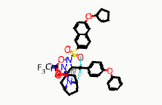 NC1CC2CCC(C1)N2C(=O)[C@H](N(OC(=O)C(F)(F)F)S(=O)(=O)c1ccc2cc(OC3CCCC3)ccc2c1)C(F)(F)c1ccc(Oc2ccccc2)cc1